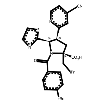 CC(C)C[C@@]1(C(=O)O)C[C@H](c2cc(C#N)ccn2)[C@H](c2nccs2)N1C(=O)c1ccc(C(C)(C)C)cc1